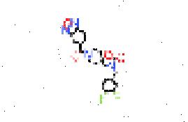 O=C1OC2(CCN(C(=O)c3ccc4nonc4c3)CC2)CN1Cc1ccc(F)c(F)c1